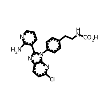 Nc1ncccc1-c1nc2ccc(Cl)nc2n1-c1ccc(CCNC(=O)O)cc1